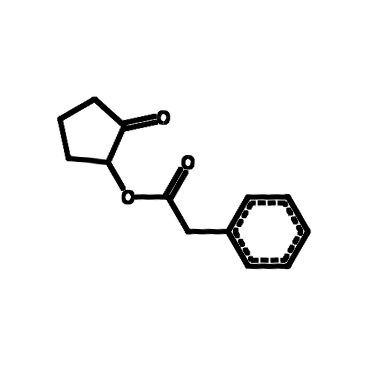 O=C(Cc1ccccc1)OC1CCCC1=O